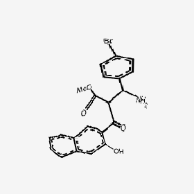 COC(=O)C(C(=O)c1cc2ccccc2cc1O)C(N)c1ccc(Br)cc1